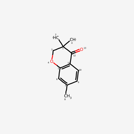 [CH]C1([CH])COc2cc(C)ccc2C1=O